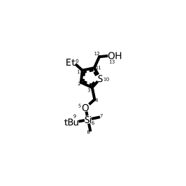 CCc1cc(CO[Si](C)(C)C(C)(C)C)sc1CO